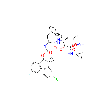 CC(C)C[C@H](NC(=O)OC(c1ccc(F)cc1)C1(c2cccc(Cl)c2)CC1)C(=O)N[C@@H](C[C@@H]1CCNC1=O)C(=O)C(=O)NC1CC1